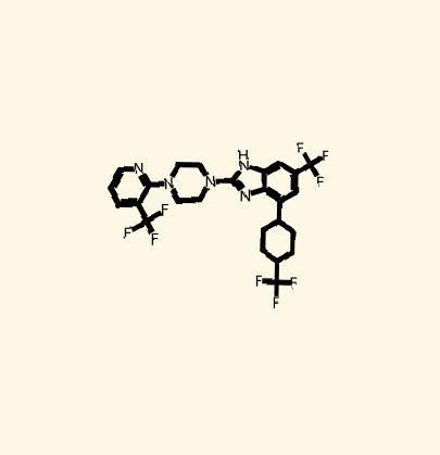 FC(F)(F)c1cc(C2CCC(C(F)(F)F)CC2)c2nc(N3CCN(c4ncccc4C(F)(F)F)CC3)[nH]c2c1